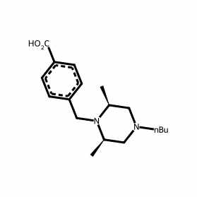 CCCCN1C[C@@H](C)N(Cc2ccc(C(=O)O)cc2)[C@@H](C)C1